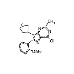 COc1ccccc1-c1nc2c(Cl)nc(C)nc2n1C1CCOC1